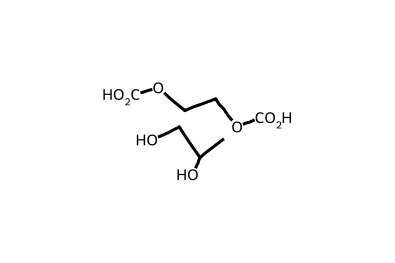 CC(O)CO.O=C(O)OCCOC(=O)O